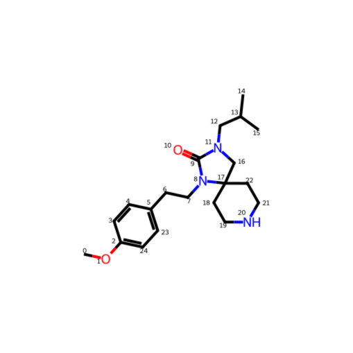 COc1ccc(CCN2C(=O)N(CC(C)C)CC23CCNCC3)cc1